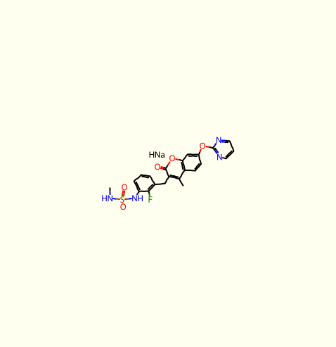 CNS(=O)(=O)Nc1cccc(Cc2c(C)c3ccc(Oc4ncccn4)cc3oc2=O)c1F.[NaH]